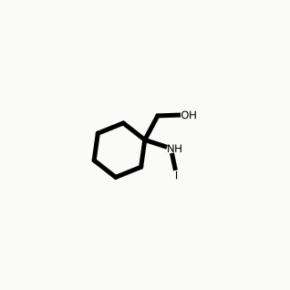 OCC1(NI)CCCCC1